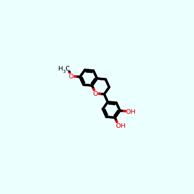 COc1ccc2c(c1)OC(c1ccc(O)c(O)c1)CC2